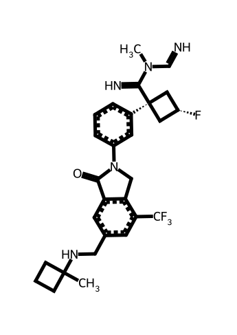 CN(C=N)C(=N)[C@]1(c2cccc(N3Cc4c(cc(CNC5(C)CCC5)cc4C(F)(F)F)C3=O)c2)C[C@@H](F)C1